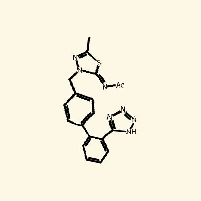 CC(=O)N=c1sc(C)nn1Cc1ccc(-c2ccccc2-c2nnn[nH]2)cc1